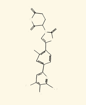 Cc1cc(-c2ccc(-c3cn(C4CCC(=O)NC4=O)c(=O)o3)c(F)c2)nc(N)c1C